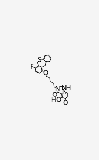 O=C1c2c(O)c(=O)ccn2NCN1CCCCCOc1ccc(F)c2c1Cc1ccccc1SC2